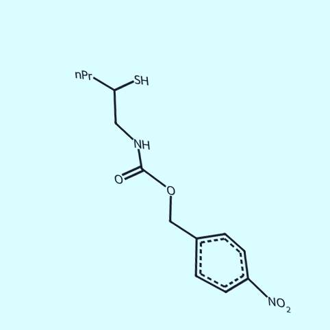 CCCC(S)CNC(=O)OCc1ccc([N+](=O)[O-])cc1